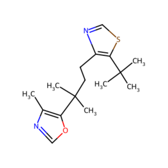 Cc1ncoc1C(C)(C)CCc1ncsc1C(C)(C)C